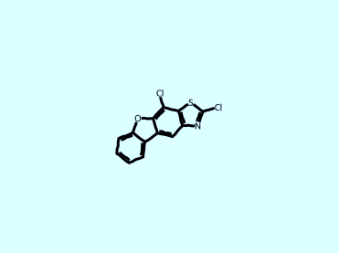 Clc1nc2cc3c(oc4ccccc43)c(Cl)c2s1